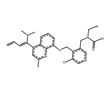 C=C/C=C(/c1cc(C)nc2c(OCc3c(Cl)cncc3CN(CC(C)C)C(=O)C(C)C)cccc12)N(C)C